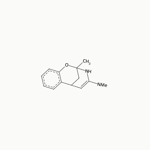 CNC1=CC2CC(C)(N1)Oc1ccccc12